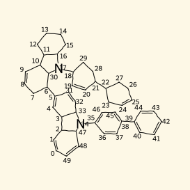 C1=CC2C3C=C(C4CC=CC5C6CCCCC6N(C6C=CC(C7CC=CCC7)CC6)C45)C=CC3N(c3ccc(-c4ccccc4)cc3)C2C=C1